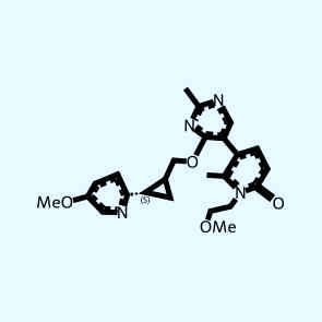 COCCn1c(C)c(-c2cnc(C)nc2OCC2C[C@@H]2c2ccc(OC)cn2)ccc1=O